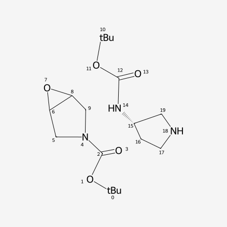 CC(C)(C)OC(=O)N1CC2OC2C1.CC(C)(C)OC(=O)N[C@H]1CCNC1